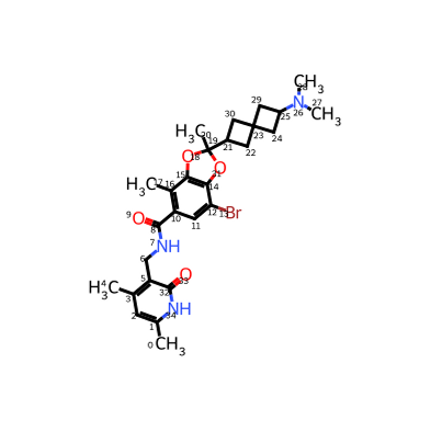 Cc1cc(C)c(CNC(=O)c2cc(Br)c3c(c2C)OC(C)(C2CC4(CC(N(C)C)C4)C2)O3)c(=O)[nH]1